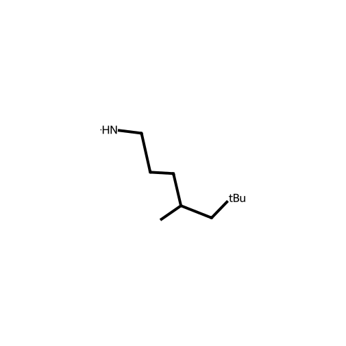 CC(CCC[NH])CC(C)(C)C